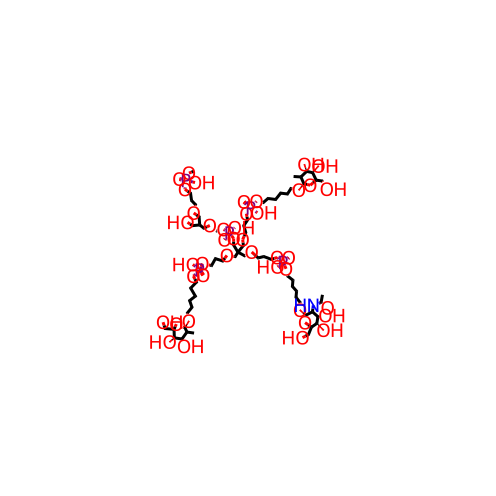 COP(=O)(O)OCCCOCC(CO)COCOP(=O)(O)OCC(COCCCOP(=O)(O)OCCCCCCO[C@@H]1OC(CO)[C@H](O)[C@H](O)C1C)(COCCCOP(=O)(O)OCCCCCCO[C@@H]1OC(CO)[C@H](O)[C@H](O)C1C)COCCCOP(=O)(O)OCCCCCCO[C@@H]1OC(CO)[C@H](O)[C@H](O)C1NC(C)=O